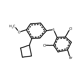 COc1ccc(Sc2c(Cl)cc(Br)cc2Cl)cc1C1CCC1